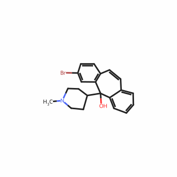 CN1CCC(C2(O)c3ccccc3C=Cc3ccc(Br)cc32)CC1